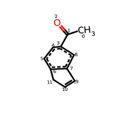 CC(=O)c1ccc2c(c1)[C]=CC2